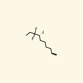 C=CCCCC[C@@H](I)C(F)(F)CC